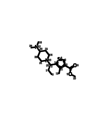 CC[C@H](c1scc(C(=O)OC)c1C)N1CCC(N(C)C)CC1